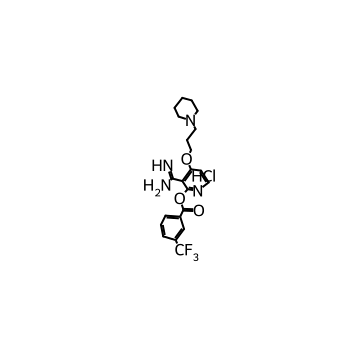 Cl.N=C(N)c1c(OCCCN2CCCCC2)ccnc1OC(=O)c1cccc(C(F)(F)F)c1